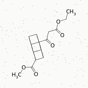 CCOC(=O)CC(=O)C12C3C4C1C1C2C3C41C(=O)OC